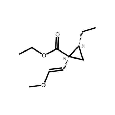 CCOC(=O)[C@]1(C=COC)C[C@H]1CC